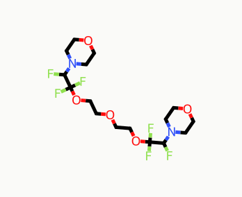 FC(N1CCOCC1)C(F)(F)OCCOCCOC(F)(F)C(F)N1CCOCC1